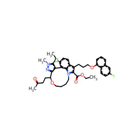 CCOC(=O)c1c(CCCOc2cccc3cc(F)ccc23)c2ccc(Cl)c3c2n1CCCCOC(CCC(C)=O)c1nn(C)c(CC)c1-3